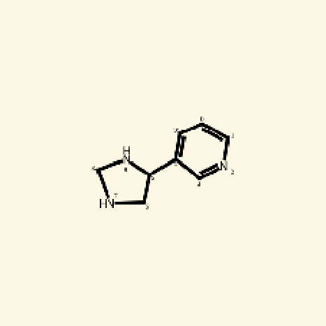 c1cncc(C2CNCN2)c1